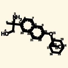 CC(N)(CO)c1ccc2cc(OC3CC4CCC3CC4)ccc2c1